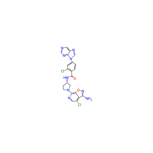 Nc1noc2c(N3CC[C@@H](NC(=O)c4ccc(-n5cnc6cncnc65)cc4Cl)C3)ncc(Cl)c12